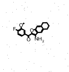 COc1cc(C(=O)c2oc3cc4c(cc3c2N)CCCC4)ccc1F